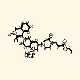 CCOC(=O)CCN1CCN(CC=C2CN(C(C(=O)OC)c3ccccc3F)CCC2S)CC1=O.Cl.Cl